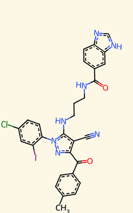 Cc1ccc(C(=O)c2nn(-c3ccc(Cl)cc3I)c(NCCCNC(=O)c3ccc4nc[nH]c4c3)c2C#N)cc1